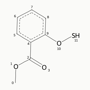 COC(=O)c1ccccc1OS